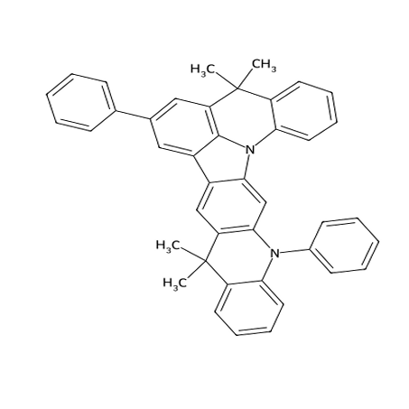 CC1(C)c2ccccc2N(c2ccccc2)c2cc3c(cc21)c1cc(-c2ccccc2)cc2c1n3-c1ccccc1C2(C)C